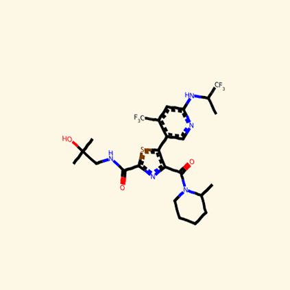 CC1CCCCN1C(=O)c1nc(C(=O)NCC(C)(C)O)sc1-c1cnc(NC(C)C(F)(F)F)cc1C(F)(F)F